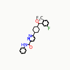 O=C(Nc1ccccc1)c1ccc(C2CCC(C(=O)c3cc(F)ccc3C(F)(F)F)CC2)nn1